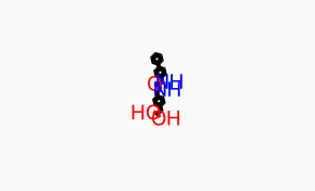 O=C(NCc1ccc(CC(O)O)cc1)Nc1ccc(-c2ccccc2)cc1